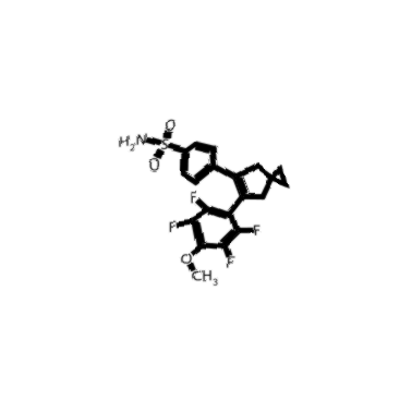 COc1c(F)c(F)c(C2=C(c3ccc(S(N)(=O)=O)cc3)CC3(CC3)C2)c(F)c1F